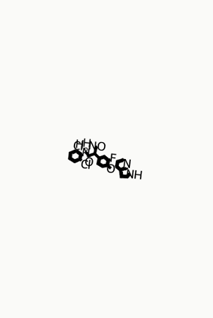 NC(=O)C(C(=O)Nc1c(Cl)cccc1Cl)c1ccc(Oc2ccnc3[nH]ccc23)c(F)c1